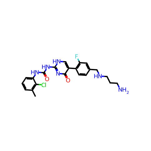 Cc1cccc(NC(=O)Nc2nc(=O)c(-c3ccc(CNCCCN)cc3F)c[nH]2)c1Cl